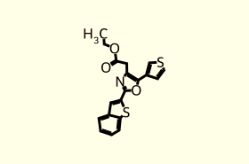 CCOC(=O)Cc1nc(-c2cc3ccccc3s2)oc1-c1ccsc1